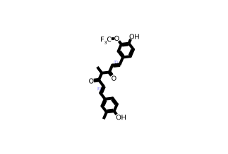 Cc1cc(/C=C/C(=O)C(C)C(=O)/C=C/c2ccc(O)c(OC(F)(F)F)c2)ccc1O